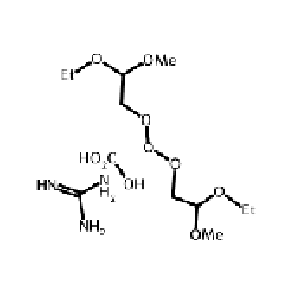 CCOC(COOOCC(OC)OCC)OC.N=C(N)N.O=C(O)O